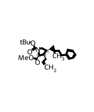 C=CC[C@@H]1[C@@H](C2CC2(C)CCc2ccccc2)CN(C(=O)OC(C)(C)C)[C@@H]1C(=O)OC